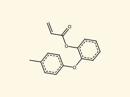 C=CC(=O)Oc1ccccc1Oc1ccc(C)cc1